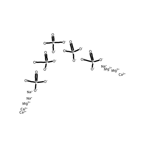 O=P([O-])([O-])[O-].O=P([O-])([O-])[O-].O=P([O-])([O-])[O-].O=P([O-])([O-])[O-].O=P([O-])([O-])[O-].[Ca+2].[Ca+2].[Ca+2].[Mg+2].[Mg+2].[Mg+2].[Na+].[Na+].[Na+]